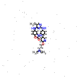 Cc1cnc(Nc2ccc(-c3ccc(OCCCN(C)C)nc3)cc2)nc1Nc1ccc2oc(=O)[nH]c2c1